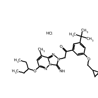 CCC(CC)Oc1cc(C)c2nn(CC(=O)c3cc(OCC4CC4)cc(C(C)(C)C)c3)c(=N)n2n1.Cl